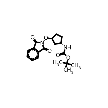 CC(C)(C)OC(=O)N[C@H]1CC[C@H](ON2C(=O)c3ccccc3C2=O)C1